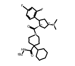 CN(C)[C@@H]1CC(c2ccc(F)cc2F)[C@H](C(=O)N2CCC(C(=O)NC(C)(C)C)(C3CCCCC3)CC2)C1